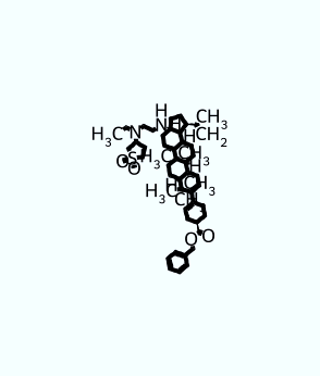 C=C(C)[C@@H]1CC[C@]2(NCCN(CC)C3CCS(=O)(=O)C3)CC[C@]3(C)[C@H](CC[C@@H]4[C@@]5(C)CC=C(C6=CC[C@H](C(=O)OCc7ccccc7)CC6)C(C)(C)[C@@H]5CC[C@]43C)[C@@H]12